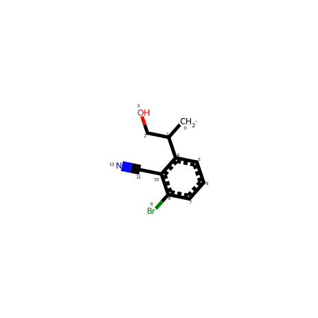 [CH2]C(CO)c1cccc(Br)c1C#N